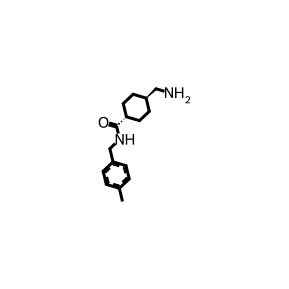 Cc1ccc(CNC(=O)[C@H]2CC[C@H](CN)CC2)cc1